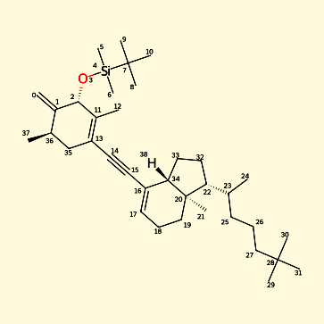 C=C1[C@H](O[Si](C)(C)C(C)(C)C)C(C)=C(C#CC2=CCC[C@]3(C)[C@@H](C(C)CCCC(C)(C)C)CC[C@@H]23)C[C@H]1C